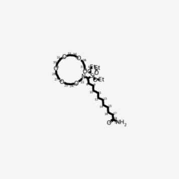 CCO[Si](OCC)(OCC)C(CCCCCCCCCCC(N)=O)N1COCCOCCOCCOCCOCCO1